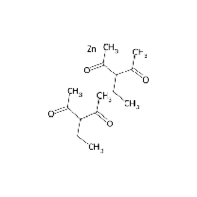 CCC(C(C)=O)C(C)=O.CCC(C(C)=O)C(C)=O.[Zn]